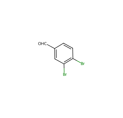 O=Cc1ccc(Br)c(Br)c1